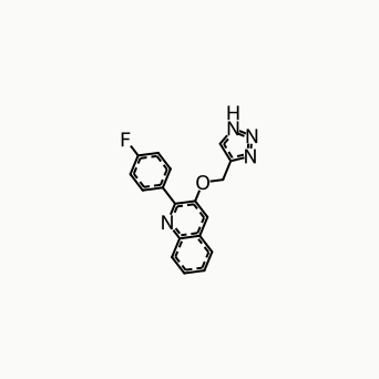 Fc1ccc(-c2nc3ccccc3cc2OCc2c[nH]nn2)cc1